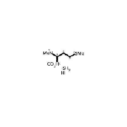 CNC(CCSC)C(=O)O.I.S